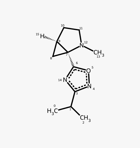 CC(C)c1noc([C@]23C[C@H]2CCN3C)n1